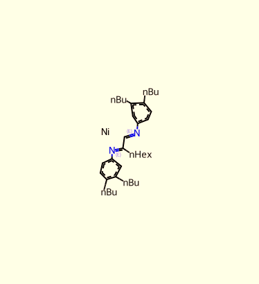 CCCCCCC(/C=N/c1ccc(CCCC)c(CCCC)c1)=N\c1ccc(CCCC)c(CCCC)c1.[Ni]